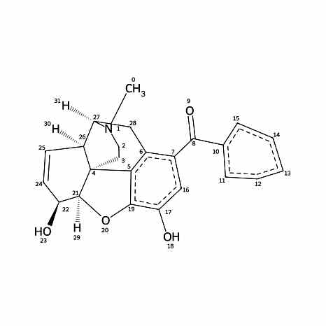 CN1CC[C@]23c4c5c(C(=O)c6ccccc6)cc(O)c4O[C@H]2[C@@H](O)C=C[C@H]3[C@H]1C5